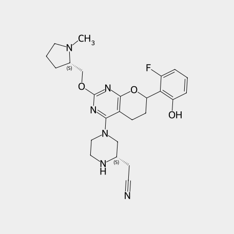 CN1CCC[C@H]1COc1nc2c(c(N3CCN[C@@H](CC#N)C3)n1)CCC(c1c(O)cccc1F)O2